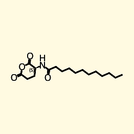 CCCCCCCCCCCC(=O)N[C@H]1CCC(=O)OC1=O